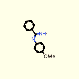 COc1ccc(N=C([NH])c2ccccc2)cc1